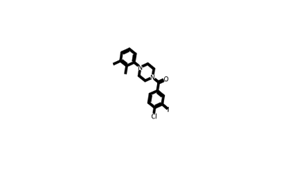 Cc1cccc(N2CCN(C(=O)c3ccc(Cl)c(I)c3)CC2)c1C